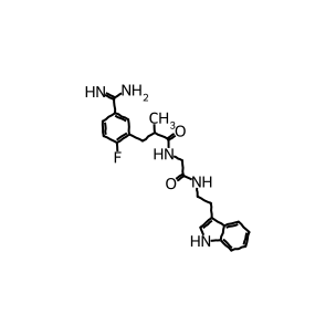 CC(Cc1cc(C(=N)N)ccc1F)C(=O)NCC(=O)NCCc1c[nH]c2ccccc12